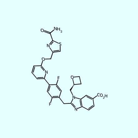 NC(=O)c1nc(COc2cccc(-c3cc(F)c(Cc4nc5ccc(C(=O)O)cc5n4C[C@@H]4CCO4)cc3F)n2)cs1